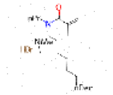 Br.C=C(C)C(=O)N(CCC)CCCCCCCCCCCCCCCC.CNC